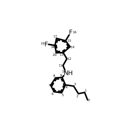 CCCCc1ccccc1NCCc1cc(F)cc(F)c1